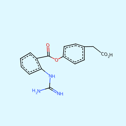 N=C(N)Nc1ccccc1C(=O)Oc1ccc(CC(=O)O)cc1